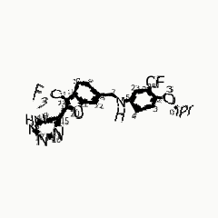 CC(C)Oc1ccc(NCc2ccc3c(C(F)(F)F)c(-c4nnn[nH]4)oc3c2)cc1C(F)(F)F